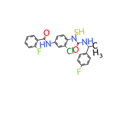 CC(NC(=O)N(S)c1ccc(NC(=O)c2ccccc2F)cc1Cl)c1ccc(F)cc1